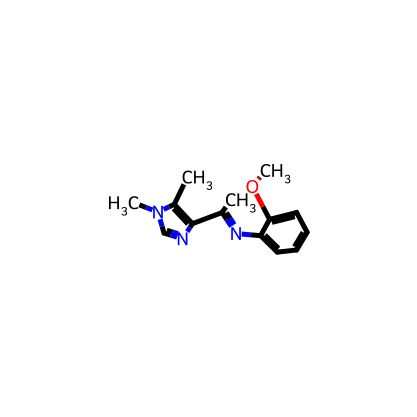 COc1ccccc1N=C(C)c1ncn(C)c1C